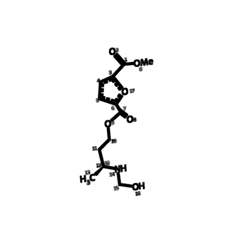 COC(=O)c1ccc(C(=O)OCC[C@H](C)NCO)o1